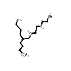 CCCCC(CCCC)COCCOCCO